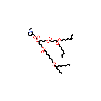 CC/C=C\CCCCOC(CCC(=O)OCCCC(CCCOC(=O)CCCCCCOC(=O)C(CCCC)CCCCCC)OC(=O)OCC1CCCN(CC)C1)OCCCC/C=C\CC